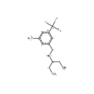 CCC(CO)NCc1cc(C)cc(C(F)(F)F)c1